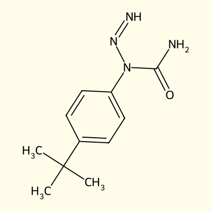 CC(C)(C)c1ccc(N(N=N)C(N)=O)cc1